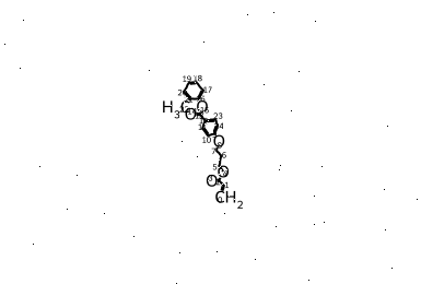 C=CC(=O)OCCCOc1ccc(C(=O)Oc2ccccc2C)cc1